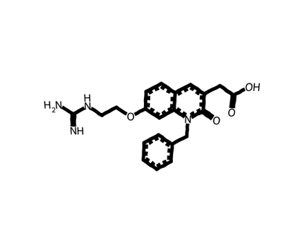 N=C(N)NCCOc1ccc2cc(CC(=O)O)c(=O)n(Cc3ccccc3)c2c1